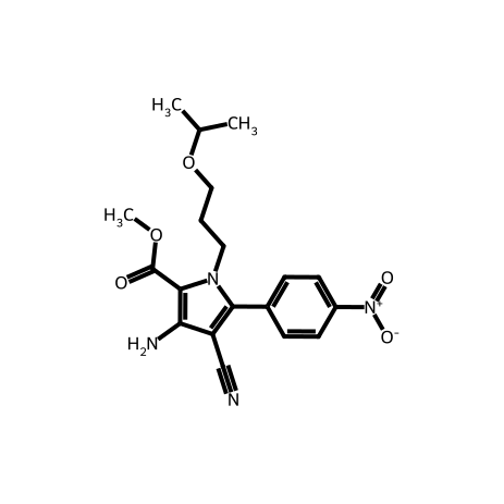 COC(=O)c1c(N)c(C#N)c(-c2ccc([N+](=O)[O-])cc2)n1CCCOC(C)C